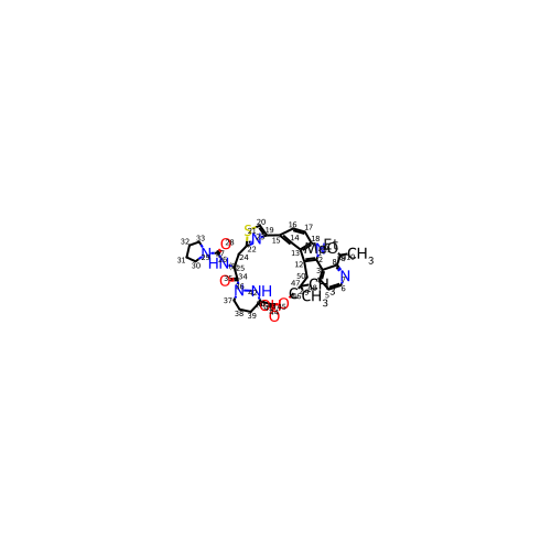 CCn1c(-c2cccnc2[C@H](C)OC)c2c3cc(ccc31)-c1csc(n1)C[C@H](NC(=O)N1CCCC1)C(=O)N1CCC[C@@](O)(N1)C(=O)OCC(C)(C)C2